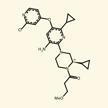 COCCC(=O)N1CCN(c2nc(C3CC3)c(Oc3ccnc(Cl)c3)cc2N)C[C@H]1C1CC1